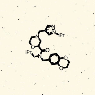 CC(C)CN(Cc1ccc2c(c1)OCCO2)C(=O)C1CN(Cc2cnn(C(C)C)c2)CCO1